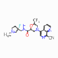 CN1CC[C@@](F)(CNC(=O)C2CN(c3cnc(C#N)c4ncccc34)CC(C(F)(F)F)O2)C1